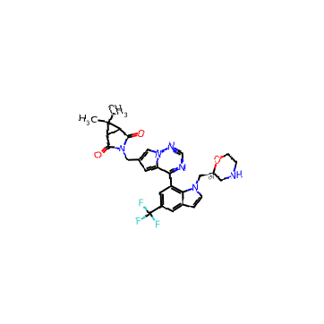 CC1(C)C2C(=O)N(Cc3cc4c(-c5cc(C(F)(F)F)cc6ccn(C[C@@H]7CNCCO7)c56)ncnn4c3)C(=O)C21